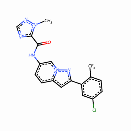 Cn1ncnc1C(=O)Nc1ccc2cc(-c3cc(Cl)ccc3C(F)(F)F)nn2c1